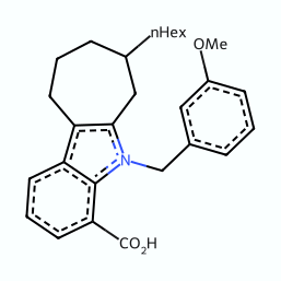 CCCCCCC1CCCc2c(n(Cc3cccc(OC)c3)c3c(C(=O)O)cccc23)C1